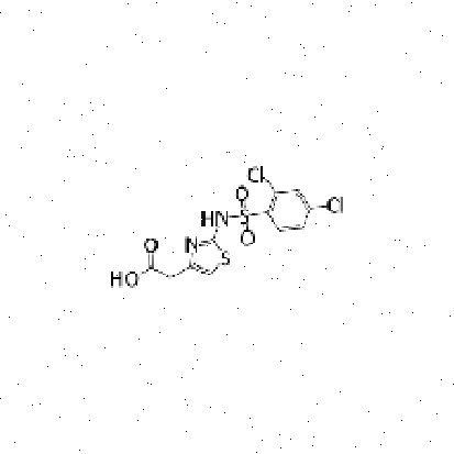 O=C(O)Cc1csc(NS(=O)(=O)c2ccc(Cl)cc2Cl)n1